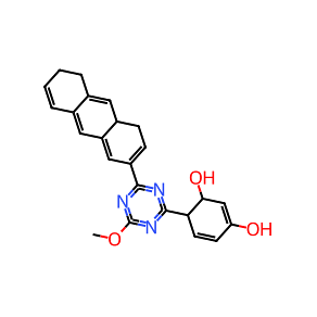 COc1nc(C2=CCC3C=C4CCC=CC4=CC3=C2)nc(C2C=CC(O)=CC2O)n1